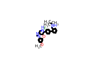 COc1ccc(-n2cnc3c2C(=O)C(c2ccc(-c4ccccc4CNC(C)(C)C)cc2F)NC3)cc1